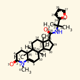 CN1C(=O)CC[C@@]2(C)C1=CC[C@@H]1[C@H]2CC[C@]2(C)C(C(=O)NC(C)(C)c3ccco3)CC[C@@H]12